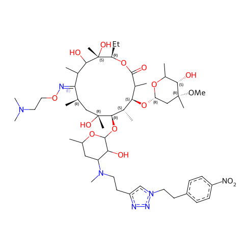 CC[C@H]1OC(=O)C(C)[C@@H](O[C@H]2C[C@@](C)(OC)[C@@H](O)C(C)O2)[C@H](C)[C@@H](OC2OC(C)CC(N(C)CCc3cn(CCc4ccc([N+](=O)[O-])cc4)nn3)C2O)[C@](C)(O)C[C@@H](C)/C(=N\OCCN(C)C)C(C)C(O)[C@]1(C)O